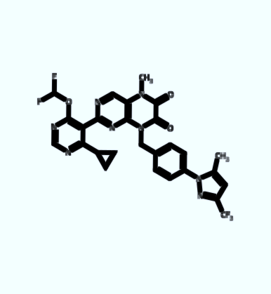 Cc1cc(C(F)(F)F)nn1-c1ccc(Cn2c(=O)c(=O)n(C)c3cnc(-c4c(OC(F)F)ncnc4C4CC4)nc32)cc1